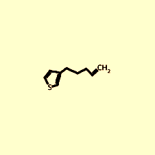 C=CCCCc1ccsc1